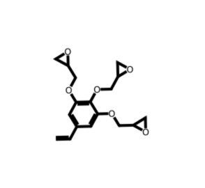 C=Cc1cc(OCC2CO2)c(OCC2CO2)c(OCC2CO2)c1